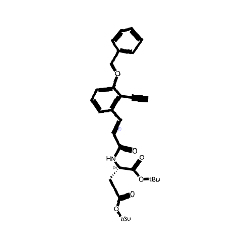 C#Cc1c(/C=C/C(=O)N[C@@H](CC(=O)OC(C)(C)C)C(=O)OC(C)(C)C)cccc1OCc1ccccc1